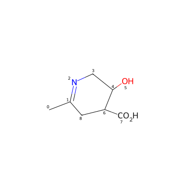 CC1=NCC(O)C(C(=O)O)C1